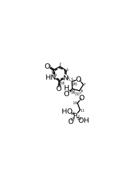 O=c1ccn([C@@H]2OC[C@H](OCCP(=O)(O)O)[C@H]2O)c(=O)[nH]1